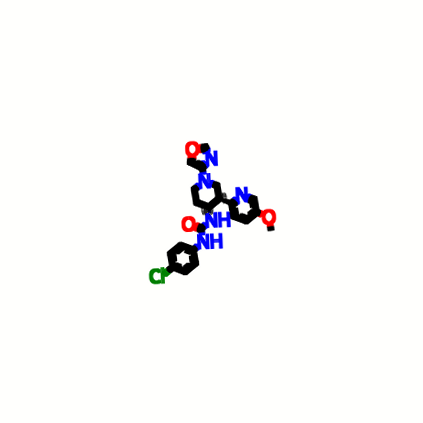 COc1ccc([C@@H]2CN(c3cocn3)CC[C@H]2NC(=O)Nc2ccc(Cl)cc2)nc1